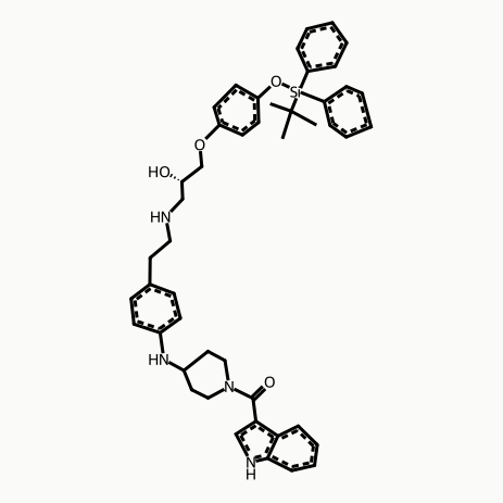 CC(C)(C)[Si](Oc1ccc(OC[C@@H](O)CNCCc2ccc(NC3CCN(C(=O)c4c[nH]c5ccccc45)CC3)cc2)cc1)(c1ccccc1)c1ccccc1